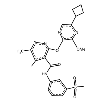 COc1nc(C2CCC2)cnc1Oc1nnc(C(F)(F)F)c(C)c1C(=O)Nc1cccc(S(C)(=O)=O)c1